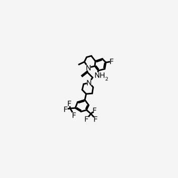 C=C(CN1CCC(c2cc(C(F)(F)F)cc(C(F)(F)F)c2)CC1)N1c2c(N)cc(F)cc2CCC1C